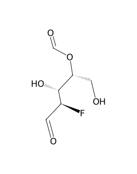 O=CO[C@H](CO)[C@@H](O)[C@@H](F)C=O